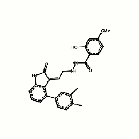 COc1ccc(C(=O)NNCC=C2C(=O)Nc3cccc(-c4ccc(C)c(C)c4)c32)c(O)c1